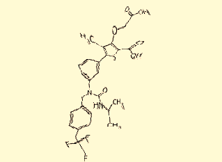 Cc1c(-c2cccc(N(Cc3ccc(C(F)(F)F)cc3)C(=O)NC(C)C)c2)sc(C(=O)O)c1OCC(=O)O